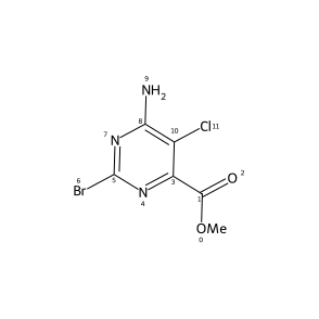 COC(=O)c1nc(Br)nc(N)c1Cl